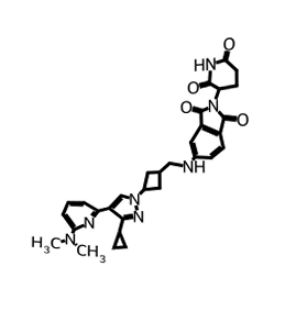 CN(C)c1cccc(-c2cn(C3CC(CNc4ccc5c(c4)C(=O)N(C4CCC(=O)NC4=O)C5=O)C3)nc2C2CC2)n1